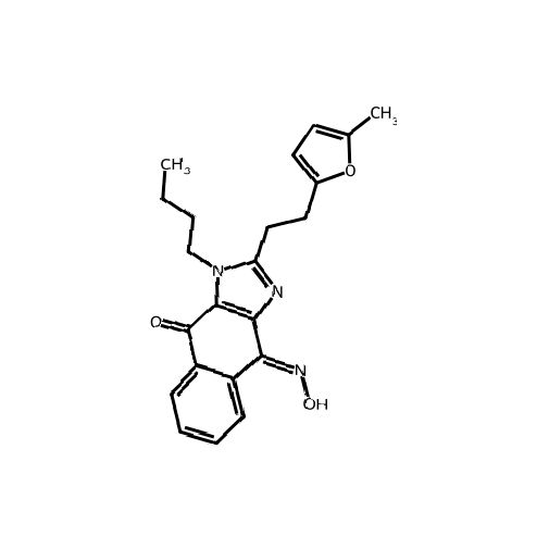 CCCCn1c(CCc2ccc(C)o2)nc2c1C(=O)c1ccccc1/C2=N\O